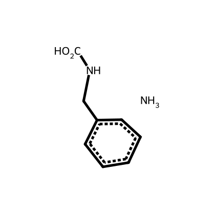 N.O=C(O)NCc1ccccc1